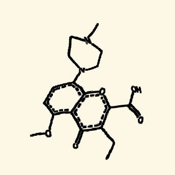 CCc1c(C(=O)O)oc2c(N3CCN(C)CC3)ccc(OC)c2c1=O